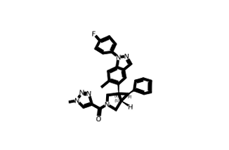 Cc1cc2c(cnn2-c2ccc(F)cc2)cc1[C@]12CN(C(=O)c3cn(C)nn3)C[C@H]1[C@@H]2c1ccccc1